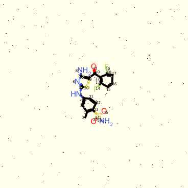 Cc1cc(Nc2nc(N)c(C(=O)c3c(F)cccc3F)s2)ccc1S(N)(=O)=O